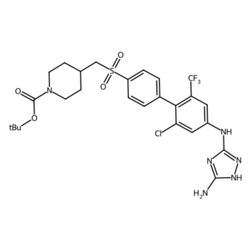 CC(C)(C)OC(=O)N1CCC(CS(=O)(=O)c2ccc(-c3c(Cl)cc(Nc4n[nH]c(N)n4)cc3C(F)(F)F)cc2)CC1